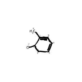 CC1=CC=CCC1Cl